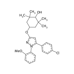 COc1ccccc1-n1nc(OC2CC(C)(C)C(O)C(C)(C)C2)cc1-c1ccc(Cl)cc1